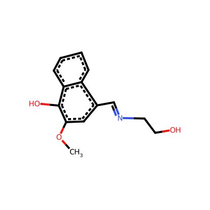 COc1cc(C=NCCO)c2ccccc2c1O